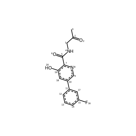 CC(=O)CNC(=O)c1ncc(-c2cccc(F)c2)cc1O